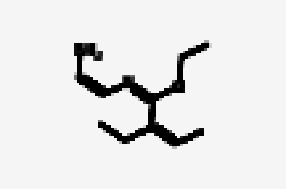 C\C=C(CC)/C(=N\C=C/N)OCC